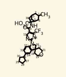 CC1CC2CC(C1)C(NC(=O)c1cnc(N3CC4(CCOCC4)c4cc(C5CCCC5)ccc43)nc1C(F)(F)F)(C(=O)O)C2